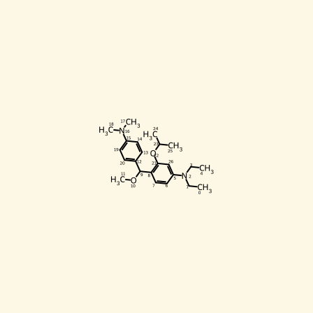 CCN(CC)c1ccc(C(OC)c2ccc(N(C)C)cc2)c(OC(C)C)c1